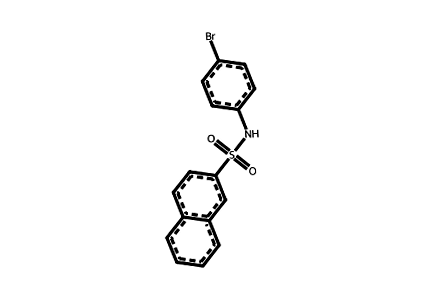 O=S(=O)(Nc1ccc(Br)cc1)c1ccc2ccccc2c1